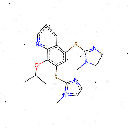 CC(C)Oc1c(Sc2nccn2C)cc(SC2=NCCN2C)c2cccnc12